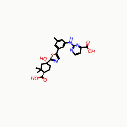 Cc1cc(Nc2nccc(C(=O)O)n2)cc(-c2cnc([C@@]3(O)CC[C@@H](C(=O)O)C(C)(C)C3)s2)c1